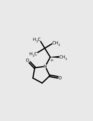 C[C@@H](N1C(=O)CCC1=O)C(C)(C)C